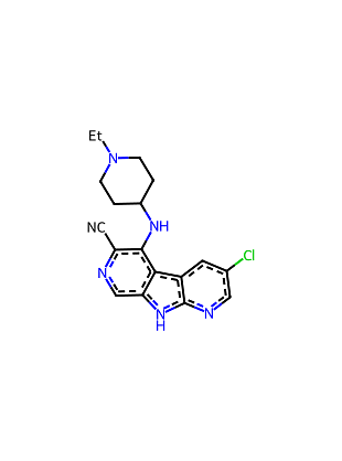 CCN1CCC(Nc2c(C#N)ncc3[nH]c4ncc(Cl)cc4c23)CC1